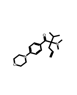 C=CCC(C(=O)c1ccc(N2CCOCC2)cc1)(C(C)C)N(C)C